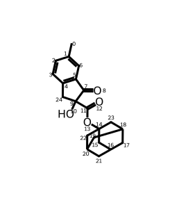 Cc1ccc2c(c1)C(=O)C(O)(C(=O)OC13CC4CC(CC(C4)C1)C3)C2